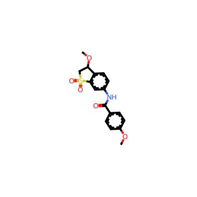 COc1ccc(C(=O)Nc2ccc3c(c2)S(=O)(=O)CC3OC)cc1